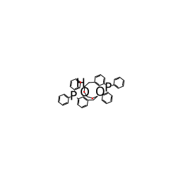 c1ccc(P(c2ccccc2)c2cccc3c2OC2CCC[C@H](C3)Oc3c(cccc3P(c3ccccc3)c3ccccc3)C2)cc1